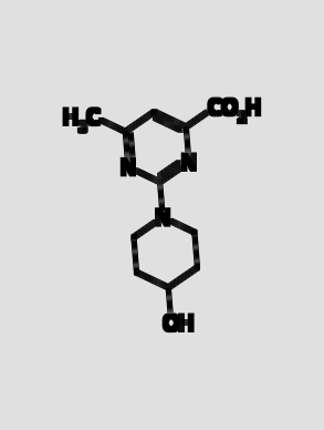 Cc1cc(C(=O)O)nc(N2CCC(O)CC2)n1